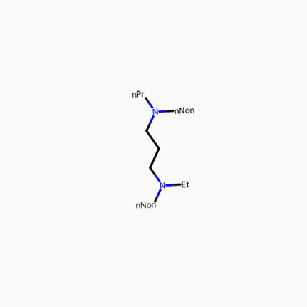 CCCCCCCCCN(CC)CCCN(CCC)CCCCCCCCC